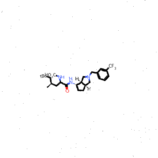 C[C@H](CC(NC(=O)O)C(=O)N[C@H]1CC[C@@H]2CN(Cc3cccc(C(F)(F)F)c3)C[C@@H]21)CC(C)(C)C